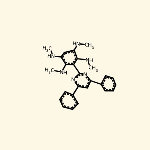 CNc1cc(NC)c(NC)c(-c2nc(-c3ccccc3)cc(-c3ccccc3)n2)c1NC